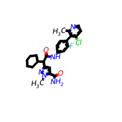 Cc1nccc(Cl)c1-c1ccc(NC(=O)C(c2cc(C(N)=O)n(C)n2)C2CCCCC2)cc1F